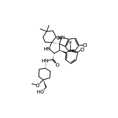 CO[C@]1(CO)CC[C@H](NC(=O)[C@@H]2NC3(CCC(C)(C)CC3)[C@@]3(C(=O)Nc4cc(Cl)ccc43)[C@H]2c2cccc(Cl)c2F)CC1